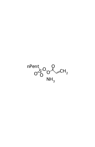 C=CC(=O)OOS(=O)(=O)CCCCC.N